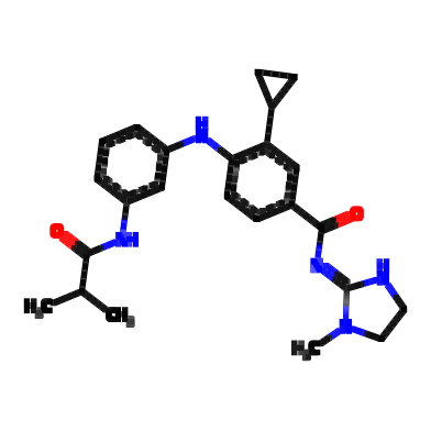 CC(C)C(=O)Nc1cccc(Nc2ccc(C(=O)/N=C3\NCCN3C)cc2C2CC2)c1